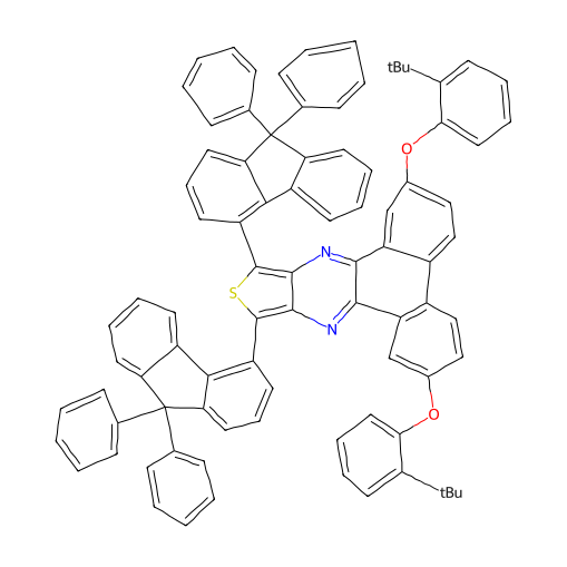 CC(C)(C)c1ccccc1Oc1ccc2c3ccc(Oc4ccccc4C(C)(C)C)cc3c3nc4c(-c5cccc6c5-c5ccccc5C6(c5ccccc5)c5ccccc5)sc(-c5cccc6c5-c5ccccc5C6(c5ccccc5)c5ccccc5)c4nc3c2c1